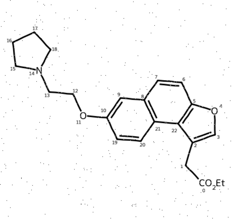 CCOC(=O)Cc1coc2ccc3cc(OCCN4CCCC4)ccc3c12